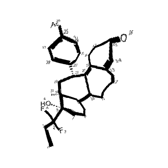 C=CC(F)(F)[C@]1(O)CCC2C3CCC4=CC(=O)CCC4=C3[C@@H](c3ccc(C(C)=O)cc3)C[C@@]21C